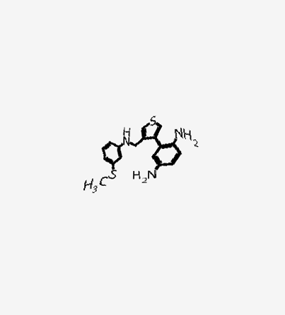 CSc1cccc(NCc2cscc2-c2cc(N)ccc2N)c1